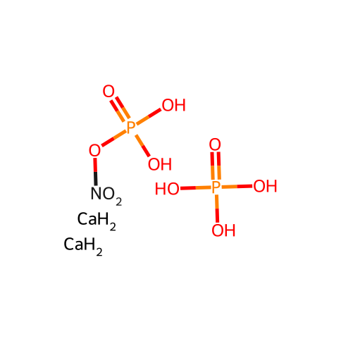 O=P(O)(O)O.O=[N+]([O-])OP(=O)(O)O.[CaH2].[CaH2]